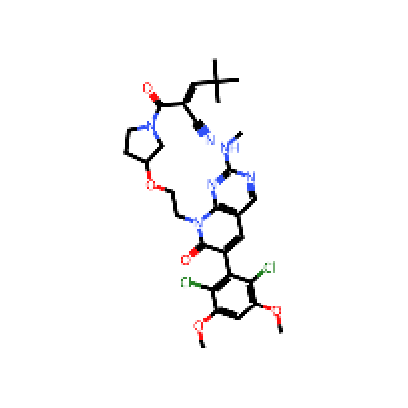 CNc1ncc2cc(-c3c(Cl)c(OC)cc(OC)c3Cl)c(=O)n(CCOC3CCN(C(=O)C(C#N)=CC(C)(C)C)C3)c2n1